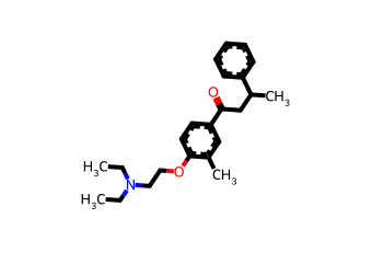 CCN(CC)CCOc1ccc(C(=O)CC(C)c2ccccc2)cc1C